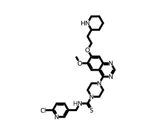 COc1cc2c(N3CCN(C(=S)NCc4ccc(Cl)nc4)CC3)ncnc2cc1OCCC1CCCCN1